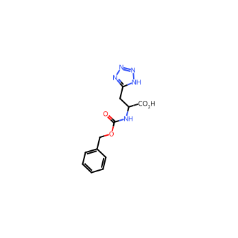 O=C(NC(Cc1nnn[nH]1)C(=O)O)OCc1ccccc1